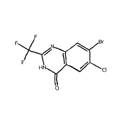 O=c1[nH]c(C(F)(F)F)nc2cc(Br)c(Cl)cc12